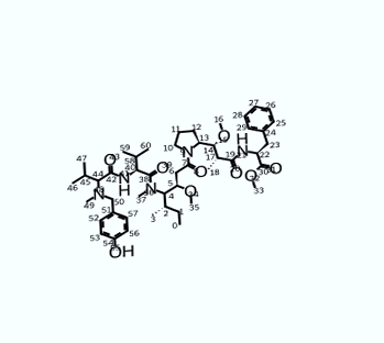 CC[C@H](C)C([C@@H](CC(=O)N1CCC[C@H]1[C@H](OC)[C@@H](C)C(=O)N[C@@H](Cc1ccccc1)C(=O)OC)OC)N(C)C(=O)[C@@H](NC(=O)C(C(C)C)N(C)Cc1ccc(O)cc1)C(C)C